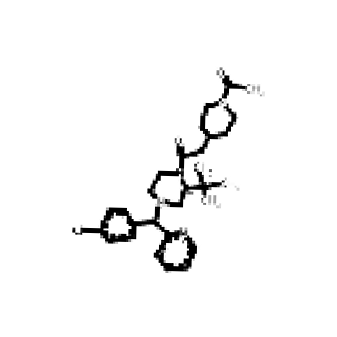 CC(=O)N1CCC(CC(=O)N2CCN(C(c3ccc(Cl)cc3)c3ccccn3)C[C@@H]2C(C)(C)C)CC1